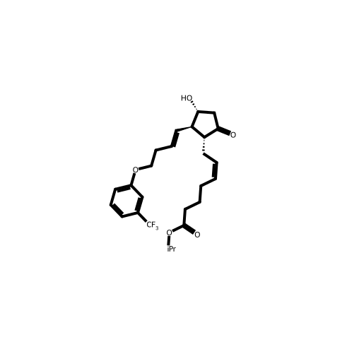 CC(C)OC(=O)CCC/C=C\C[C@H]1C(=O)C[C@@H](O)[C@@H]1/C=C/CCOc1cccc(C(F)(F)F)c1